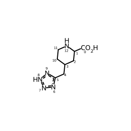 O=C(O)C1CC(Cc2nn[nH]n2)CCN1